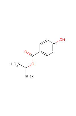 CCCCCCC(OC(=O)c1ccc(O)cc1)S(=O)(=O)O